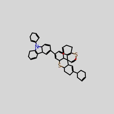 C1=CC(N2C3=C(C=CCC3)C3C=C(C4=CC5SC6CCC(C7CC=CCC7)=CC6C6(C7=CCCC=C7SC7=C6C=CCC7)C5C=C4)C=CC32)=CCC1